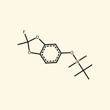 CC1(F)Oc2ccc(O[Si](C)(C)C(C)(C)C)cc2O1